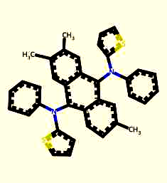 Cc1ccc2c(N(c3ccccc3)c3cccs3)c3cc(C)c(C)cc3c(N(c3ccccc3)c3cccs3)c2c1